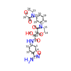 Nc1noc2cc(NC(=O)[C@H](O)[C@H]3OCCN(c4cccc(N5CCOCC5=O)c4)C3=O)ccc12